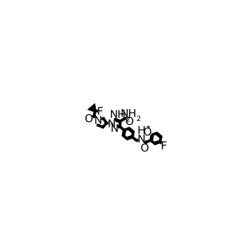 COc1ccc(F)cc1C(=O)NCc1ccc(-c2nn(C3CCN(C(=O)C4(F)CC4)C3)c(N)c2C(N)=O)cc1